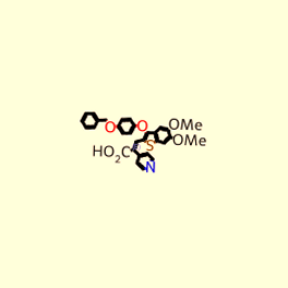 COc1cc2sc(/C=C(/C(=O)O)c3ccncc3)c(Oc3ccc(OCc4ccccc4)cc3)c2cc1OC